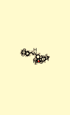 O=C(O)C1(c2ncc3ccsc3n2)CCC(NCCc2ccc3c(c2)OCCO3)CC1C(F)(F)F